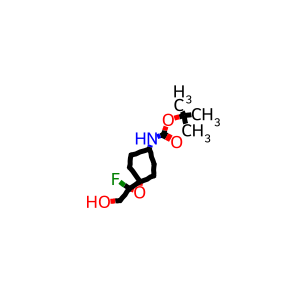 CC(C)(C)OC(=O)NC1CCC2(CC1)OC2(F)CO